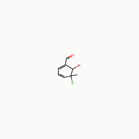 CC1(Cl)C=CC=C([C]=O)C1Br